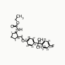 CCOC(=O)N[C@@H]1CCC[C@@H]1COc1ccc(C(C)(C)c2ccc(F)cc2)cc1